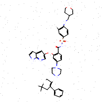 CC1(C)CCC(CN2CCN(c3ccc(C(=O)NS(=O)(=O)c4ccc(NCC5CCOCC5)c([N+](=O)[O-])c4)c(Oc4cnc5[nH]ccc5c4)c3)CC2)=C(c2ccccc2)C1